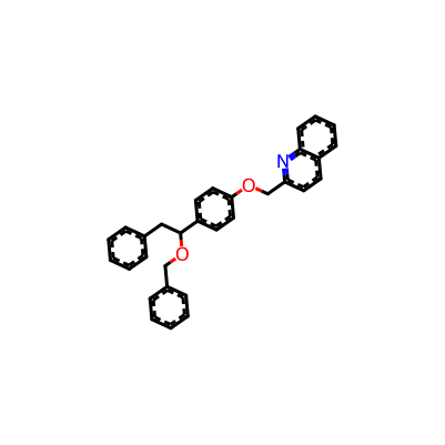 c1ccc(COC(Cc2ccccc2)c2ccc(OCc3ccc4ccccc4n3)cc2)cc1